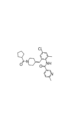 Cc1ccc(C(=O)Nc2c(C)cc(Cl)cc2C=C2CCN(C(=O)C3CCCC3)CC2)cn1